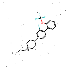 CCC[SiH]1CCC(c2ccc(-c3ccccc3OC(F)(F)F)c(F)c2)CC1